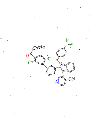 COC(=O)c1cc(Cl)c(-c2cccc(-c3c(-c4cnccc4C#N)c4ccccc4n3Sc3ccc(C(F)F)cc3)c2)cc1F